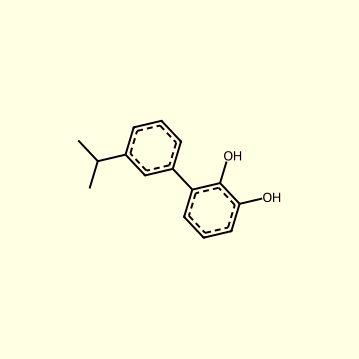 CC(C)c1cccc(-c2cccc(O)c2O)c1